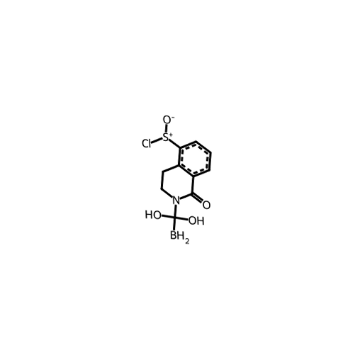 BC(O)(O)N1CCc2c(cccc2[S+]([O-])Cl)C1=O